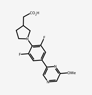 COc1cncc(-c2cc(F)c(N3CCC(CC(=O)O)C3)c(F)c2)n1